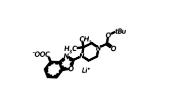 CC(C)(C)OC(=O)N1CCN(c2nc3c(C(=O)[O-])cccc3o2)C(C)(C)C1.[Li+]